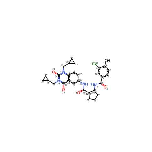 N#Cc1ccc(C(=O)N[C@H]2CCC[C@H]2C(=O)Nc2ccc3c(c2)c(=O)n(CC2CC2)c(=O)n3CC2CC2)cc1Cl